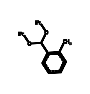 Cc1ccccc1C(OC(C)C)OC(C)C